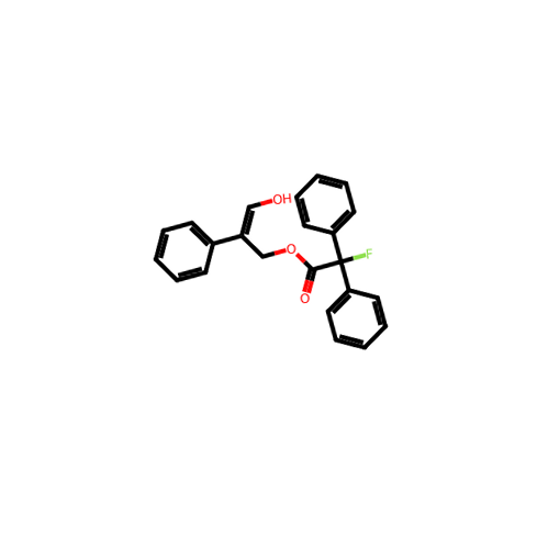 O=C(OCC(=CO)c1ccccc1)C(F)(c1ccccc1)c1ccccc1